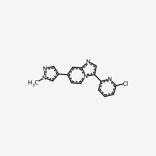 Cn1cc(-c2ccn3c(-c4cccc(Cl)n4)cnc3c2)cn1